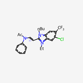 CCCC[n+]1c(/C=C/N(C(C)=O)c2ccccc2)n(CC)c2cc(Cl)c(C(F)(F)F)cc21